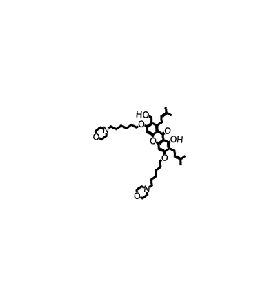 CC(C)=CCc1c(OCCCCCCN2CCOCC2)cc2oc3cc(OCCCCCCN4CCOCC4)c(CO)c(CC=C(C)C)c3c(=O)c2c1O